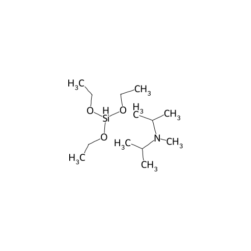 CC(C)N(C)C(C)C.CCO[SiH](OCC)OCC